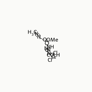 COc1cc(Nc2nccc(N(Cc3cc(Cl)ccc3Cl)C(=O)O)n2)ccc1OCCCN1CCN(C)CC1